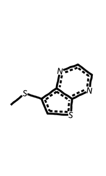 CSc1csc2nccnc12